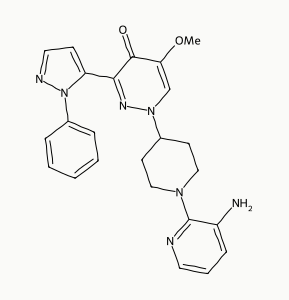 COc1cn(C2CCN(c3ncccc3N)CC2)nc(-c2ccnn2-c2ccccc2)c1=O